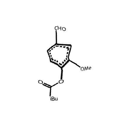 CCC(C)C(=O)Oc1ccc(C=O)cc1OC